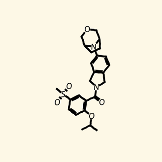 CC(C)Oc1ccc(S(C)(=O)=O)cc1C(=O)N1Cc2ccc(N3C4CCC3COC4)cc2C1